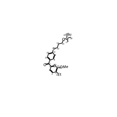 CCc1ccc(C(=O)c2ccc(SCCCO[Si](C)(C)C(C)(C)C)cc2)nc1OC